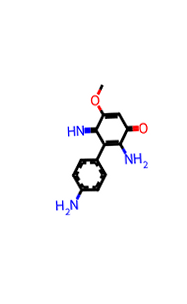 COC1=CC(=O)C(N)=C(c2ccc(N)cc2)C1=N